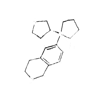 C[C@H]1CCC[N+]1(c1ccc2c(c1)CC[N]C2)[C@H]1CCNC1